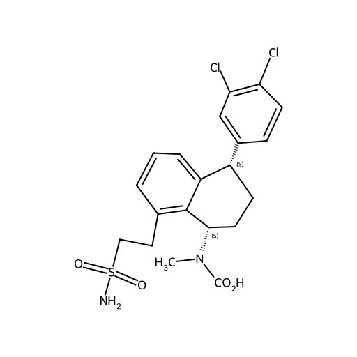 CN(C(=O)O)[C@H]1CC[C@@H](c2ccc(Cl)c(Cl)c2)c2cccc(CCS(N)(=O)=O)c21